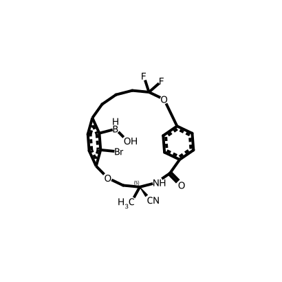 C[C@]1(C#N)COc2ccc(c(BO)c2Br)CCCC(F)(F)Oc2ccc(cc2)C(=O)N1